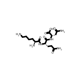 NCCCC[C@H](N)C(=O)N[C@@H](CCC(N)=O)C(=O)N[C@@H](CC(N)=O)C(=O)O